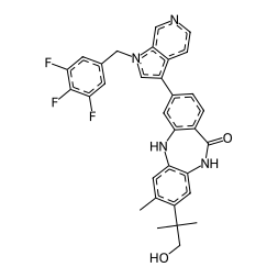 Cc1cc2c(cc1C(C)(C)CO)NC(=O)c1ccc(-c3cn(Cc4cc(F)c(F)c(F)c4)c4cnccc34)cc1N2